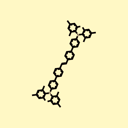 Cc1cc(C)c(N(c2ccc(-c3ccc(/C=C/c4ccc(-c5ccc(N(c6c(C)cc(C)cc6C)c6c(C)cc(C)cc6C)cc5)cc4)cc3)cc2)c2c(C)cc(C)cc2C)c(C)c1